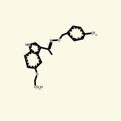 C/C(=N\OCc1ccc(C(F)(F)F)cc1)c1c[nH]c2ccc(OCC(=O)O)cc12